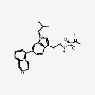 CC(C)Cn1cc(CCNS(=O)(=O)N(C)C)c2ccc(-c3cccc4cnccc34)cc21